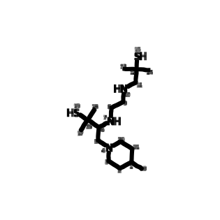 CC1CCN(CC(NCCNCC(C)(C)S)C(C)(C)S)CC1